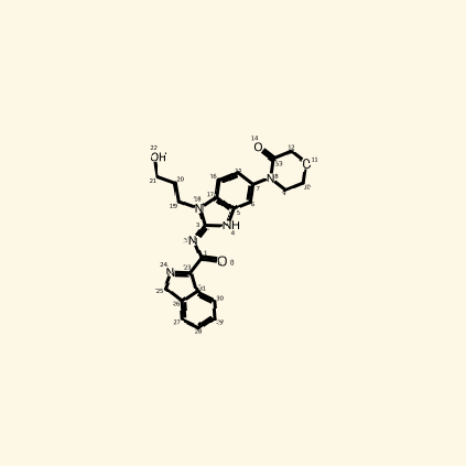 O=C(/N=c1\[nH]c2cc(N3CCOCC3=O)ccc2n1CCCO)C1=NCc2ccccc21